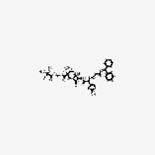 CSC1(C(=O)OCOC(=O)C(C)(C)C)CS[C@@H]2C(NC(=O)C(=NOCC(=O)OC(c3ccccc3)c3ccccc3)c3csc(N)n3)C(=O)N2C1